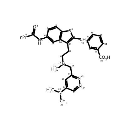 CCCC(=O)Nc1ccc2sc(C)c(CCN(C)Cc3cc(N(C)C)cnn3)c2c1.O=C(O)c1ccccc1